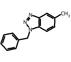 Cc1ccc2c(c1)nnn2Cc1ccccc1